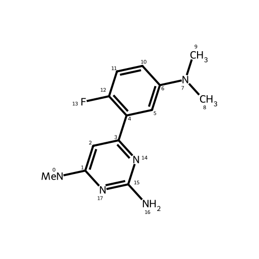 CNc1cc(-c2cc(N(C)C)ccc2F)nc(N)n1